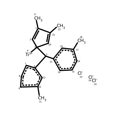 CC1=C[C]([Ti+3])(C(c2cccc(C)c2)c2cccc(C)c2)C=C1C.[Cl-].[Cl-].[Cl-]